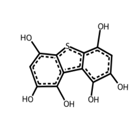 Oc1cc(O)c2sc3c(O)cc(O)c(O)c3c2c1O